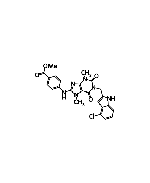 COC(=O)c1ccc(Nc2nc3c(c(=O)n(Cc4cc5c(Cl)cccc5[nH]4)c(=O)n3C)n2C)cc1